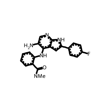 CNC(=O)c1ccccc1Nc1c(N)cnc2[nH]c(-c3ccc(F)cc3)cc12